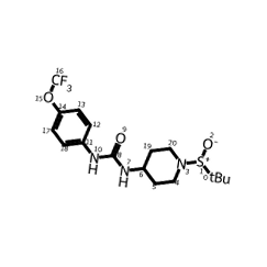 CC(C)(C)[S+]([O-])N1CCC(NC(=O)Nc2ccc(OC(F)(F)F)cc2)CC1